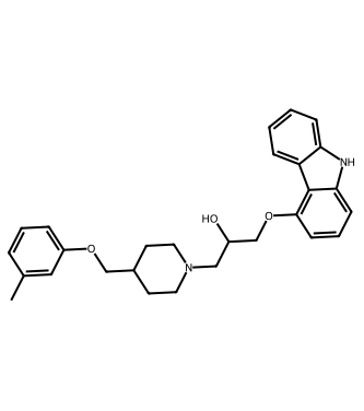 Cc1cccc(OCC2CCN(CC(O)COc3cccc4[nH]c5ccccc5c34)CC2)c1